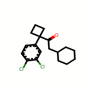 O=C(CC1CCCCC1)C1(c2ccc(Cl)c(Cl)c2)CCC1